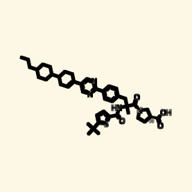 CCCC1CCC(C2CC=C(c3cnc(-c4ccc(CC(C)(NC(=O)c5ccc(C(C)(C)C)s5)C(=O)N5CC[C@H](C(=O)O)C5)cc4)nc3)CC2)CC1